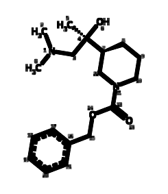 CN(C)C[C@@](C)(O)[C@H]1CCCN(C(=O)OCc2ccccc2)C1